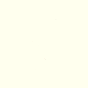 CCOC(=O)[C@H]1CC[C@]2(CC1)CN(c1cccc(C)n1)C(=O)O2